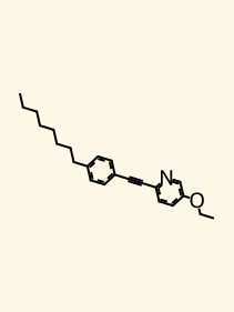 CCCCCCCCc1ccc(C#Cc2ccc(OCC)cn2)cc1